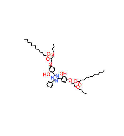 CCCCCCCCCCCC(=O)OC(COCCCC)COc1ccc(-c2nc(-c3ccccc3)nc(-c3ccc(OCC(COCCCC)OC(=O)CCCCCCCCCCC)cc3O)n2)c(O)c1